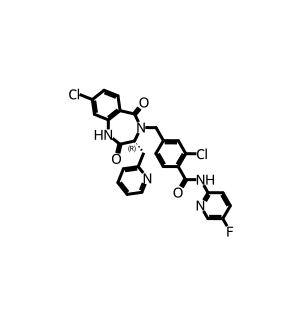 O=C(Nc1ccc(F)cn1)c1ccc(CN2C(=O)c3ccc(Cl)cc3NC(=O)[C@H]2Cc2ccccn2)cc1Cl